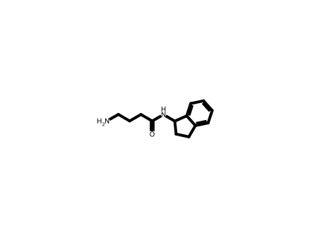 NCCCC(=O)NC1CCc2ccccc21